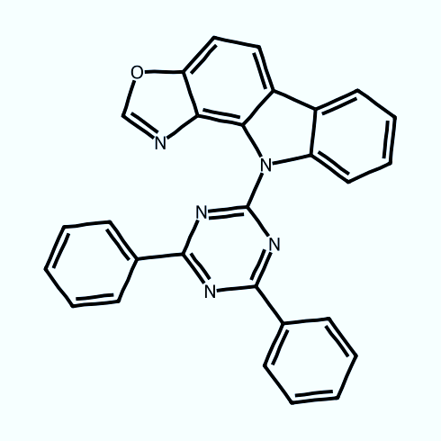 c1ccc(-c2nc(-c3ccccc3)nc(-n3c4ccccc4c4ccc5ocnc5c43)n2)cc1